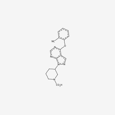 N#Cc1ccccc1Oc1ncnc2c1cnn2C1CCCN(C(=O)O)C1